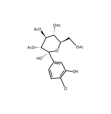 CC(=O)OC[C@H]1O[C@@](O)(c2ccc(Cl)c(O)c2)[C@H](OC(C)=O)[C@@H](OC(C)=O)[C@@H]1OC(C)=O